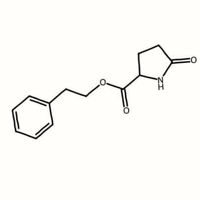 O=C1CCC(C(=O)OCCc2ccccc2)N1